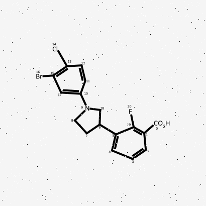 O=C(O)c1cccc(C2CCN(c3ccc(Cl)c(Br)c3)C2)c1F